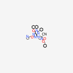 CN1CCCC1COc1nc(N2CCN(C(=O)OCc3ccccc3)[C@@H](CC#N)C2)c2nc(-c3ccccc3)n(-c3cccc4ccccc34)c(=O)c2n1